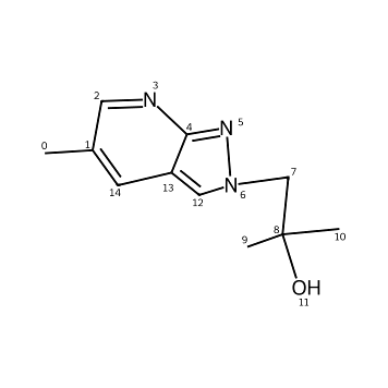 Cc1cnc2nn(CC(C)(C)O)cc2c1